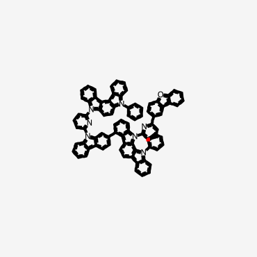 c1ccc(-n2c3ccccc3c3c4c5ccccc5n(-c5cccc(-n6c7ccccc7c7ccc(-c8cccc9c8c8ccc%10c%11ccccc%11n(-c%11ccccc%11)c%10c8n9-c8cccc(-c9ccc%10oc%11ccccc%11c%10c9)n8)cc76)n5)c4ccc32)cc1